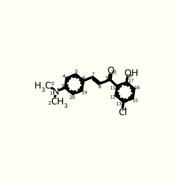 CN(C)c1ccc(C=CC(=O)c2cc(Cl)ccc2O)cc1